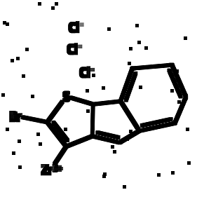 BrC1=[C]([Zr+3])C2=Cc3ccccc3C2S1.[Cl-].[Cl-].[Cl-]